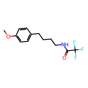 COc1ccc(CCCCNC(=O)C(F)(F)F)cc1